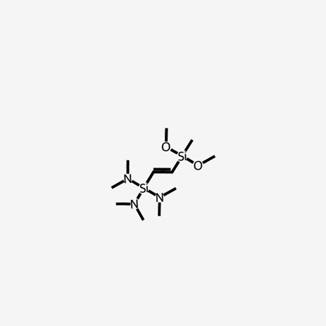 CO[Si](C)(C=C[Si](N(C)C)(N(C)C)N(C)C)OC